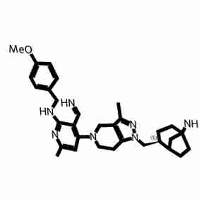 COc1ccc(CNc2nc(C)cc(N3CCc4c(c(C)nn4C[C@H]4CCC5(N)CCC4C5)C3)c2C=N)cc1